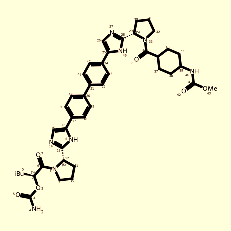 CCC(C)[C@H](OC(N)=O)C(=O)N1CCC[C@H]1c1ncc(-c2ccc(-c3ccc(-c4cnc([C@@H]5CCCN5C(=O)C5CCC(NC(=O)OC)CC5)[nH]4)cc3)cc2)[nH]1